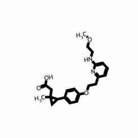 COCCNc1cccc(CCOc2ccc(C3CC3(C)CC(=O)O)cc2)n1